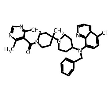 Cc1ncnc(C)c1C(=O)N1CCC(C)(N2CCC(N(Cc3ccccc3)c3ccc(Cl)c4cccnc34)CC2)CC1